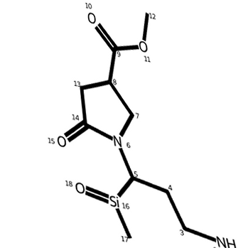 CCNCCC(N1CC(C(=O)OC)CC1=O)[Si](C)=O